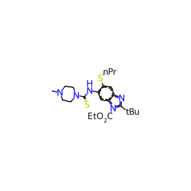 CCCSc1cc2nc(C(C)(C)C)n(C(=O)OCC)c2cc1NC(=S)N1CCN(C)CC1